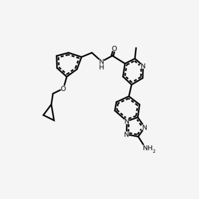 Cc1ncc(-c2ccn3nc(N)nc3c2)cc1C(=O)NCc1cccc(OCC2CC2)c1